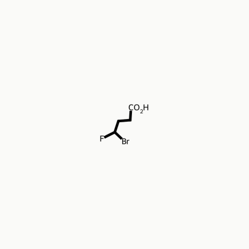 O=C(O)CCC(F)Br